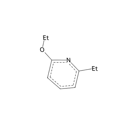 [CH2]Cc1cccc(OCC)n1